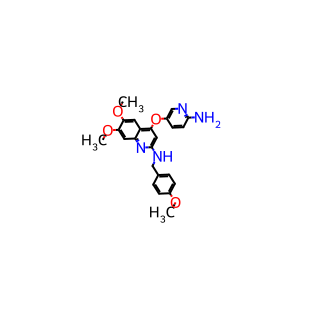 COc1ccc(CNc2cc(Oc3ccc(N)nc3)c3cc(OC)c(OC)cc3n2)cc1